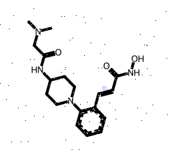 CN(C)CC(=O)NC1CCN(c2ccccc2/C=C/C(=O)NO)CC1